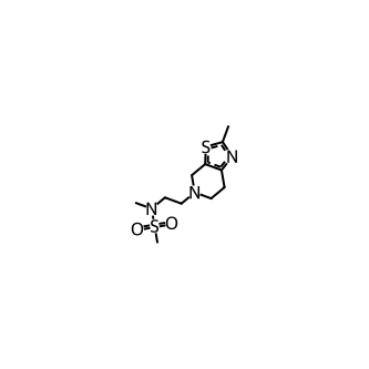 Cc1nc2c(s1)CN(CCN(C)S(C)(=O)=O)CC2